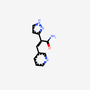 NC(=O)C(=Cc1cccnc1)c1cc[nH]n1